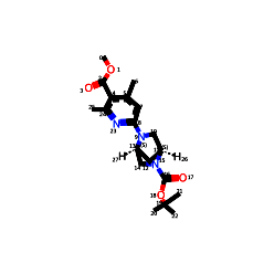 COC(=O)c1c(C)cc(N2C[C@@H]3C[C@H]2CN3C(=O)OC(C)(C)C)nc1C